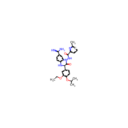 CCOc1cc(C(Nc2ccc(C(=N)N)cc2)C(=O)NNC(=O)c2cccc(C)n2)ccc1OC(C)C